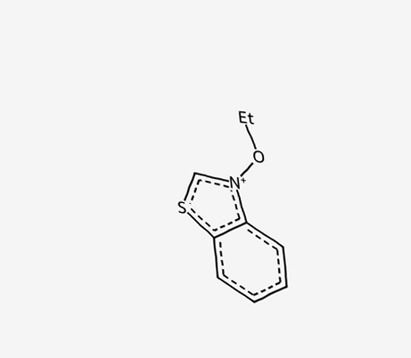 CCO[n+]1csc2ccccc21